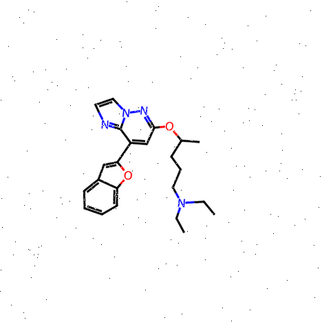 CCN(CC)CCCC(C)Oc1cc(-c2cc3ccccc3o2)c2nccn2n1